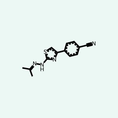 CC(C)=NNc1nc(-c2ccc(C#N)cc2)cs1